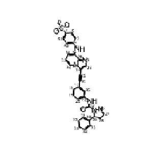 CS(=O)(=O)c1ccc(Nc2cccn3c(C#Cc4cccc(NC(=O)N5N=CCC5c5ccccc5)c4)cnc23)cc1